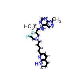 Cn1ncc2c(NC(CCN(CCCCc3ccc4c(n3)NCCC4)CC(F)F)C(=O)O)ncnc21